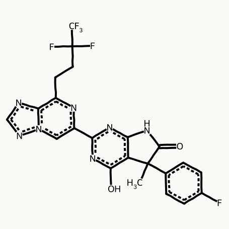 CC1(c2ccc(F)cc2)C(=O)Nc2nc(-c3cn4ncnc4c(CCC(F)(F)C(F)(F)F)n3)nc(O)c21